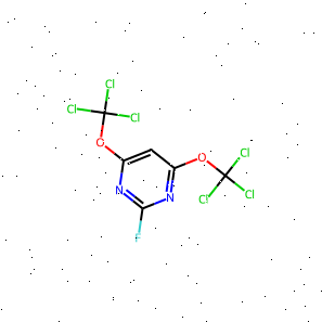 Fc1nc(OC(Cl)(Cl)Cl)cc(OC(Cl)(Cl)Cl)n1